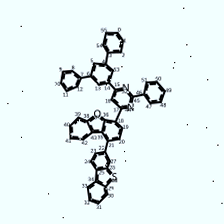 c1ccc(-c2cc(-c3ccccc3)cc(-c3cc(-c4ccc(-c5ccc6c(c5)sc5ccccc56)c5c4oc4ccccc45)nc(-c4ccccc4)n3)c2)cc1